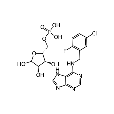 Fc1ccc(Cl)cc1CNc1ncnc2nc[nH]c12.O=P(O)(O)OC[C@H]1OC(O)[C@H](O)[C@@H]1O